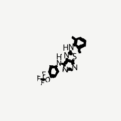 Cc1cccc(C)c1Nc1nc2c(Nc3ccc(OC(F)(F)F)cc3)ncnc2s1